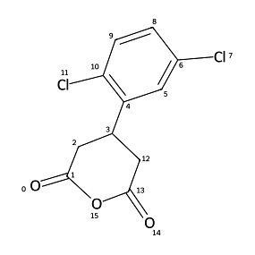 O=C1CC(c2cc(Cl)ccc2Cl)CC(=O)O1